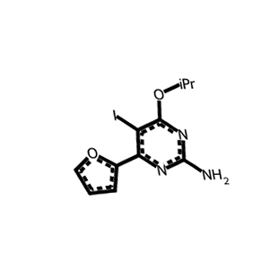 CC(C)Oc1nc(N)nc(-c2ccco2)c1I